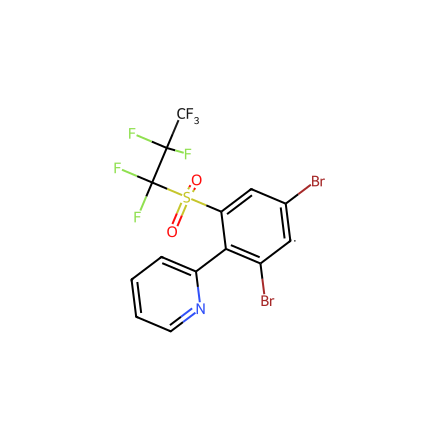 O=S(=O)(c1cc(Br)[c]c(Br)c1-c1ccccn1)C(F)(F)C(F)(F)C(F)(F)F